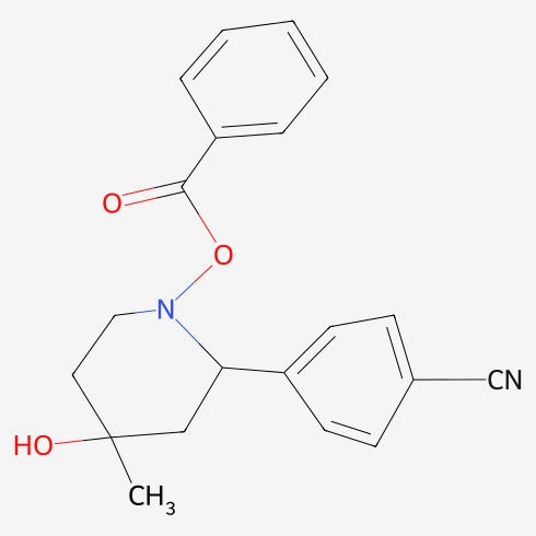 CC1(O)CCN(OC(=O)c2ccccc2)C(c2ccc(C#N)cc2)C1